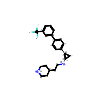 FC(F)(F)c1cccc(-c2ccc([C@H]3C[C@@H]3NCCC3CCNCC3)cc2)c1